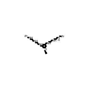 C#CCOc1cc(CNCCCNCCCNCC(C)C)cc(CNCCCNCCCNCC(C)C)c1